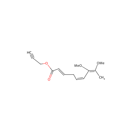 C#CCOC(=O)/C=C/C/C=C\C(OC)=C(/C)OC